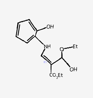 CCOC(=O)/C(=C/Nc1ccccc1O)C(O)OCC